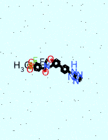 CCc1c(C(=O)N2CCOc3ccc(-c4ccc(-c5nc6nccnc6[nH]5)cc4)cc3C2)ccc(S(C)(=O)=O)c1F